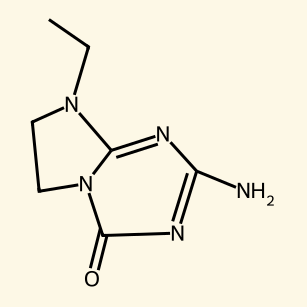 CCN1CCn2c1nc(N)nc2=O